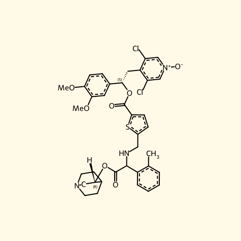 COc1ccc([C@H](Cc2c(Cl)c[n+]([O-])cc2Cl)OC(=O)c2ccc(CNC(C(=O)O[C@H]3CN4CCC3CC4)c3ccccc3C)s2)cc1OC